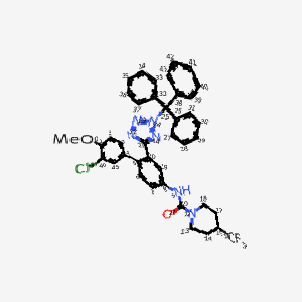 COc1ccc(-c2ccc(NC(=O)N3CCC(C(F)(F)F)CC3)cc2-c2nnn(C(c3ccccc3)(c3ccccc3)c3ccccc3)n2)cc1Cl